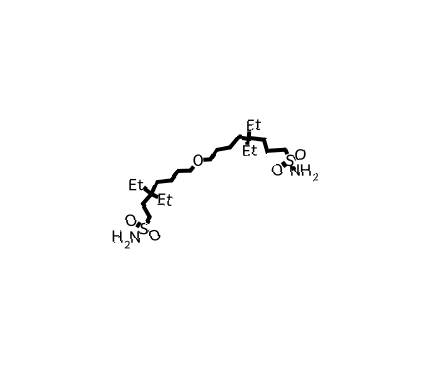 CCC(CC)(CCCCOCCCCC(CC)(CC)CCS(N)(=O)=O)CCCS(N)(=O)=O